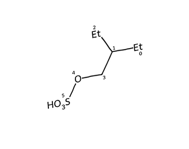 CCC(CC)COS(=O)(=O)O